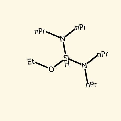 CCCN(CCC)[SiH](OCC)N(CCC)CCC